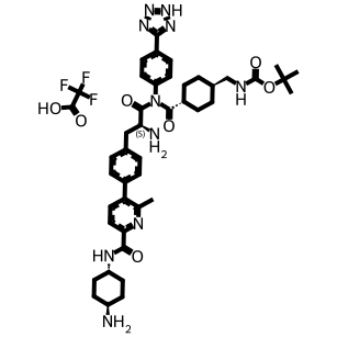 Cc1nc(C(=O)N[C@H]2CC[C@H](N)CC2)ccc1-c1ccc(C[C@H](N)C(=O)N(c2ccc(-c3nn[nH]n3)cc2)C(=O)[C@H]2CC[C@H](CNC(=O)OC(C)(C)C)CC2)cc1.O=C(O)C(F)(F)F